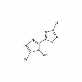 CCCn1c(-c2nc(Cl)ns2)nnc1C(C)C